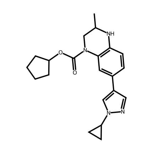 CC1CN(C(=O)OC2CCCC2)c2cc(-c3cnn(C4CC4)c3)ccc2N1